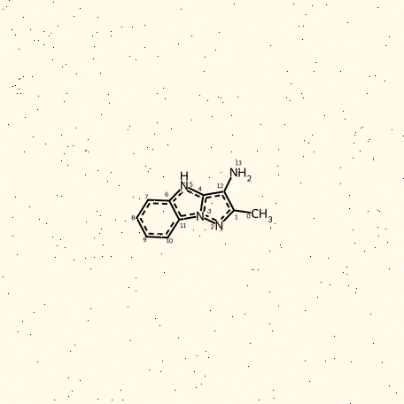 Cc1nn2c([nH]c3ccccc32)c1N